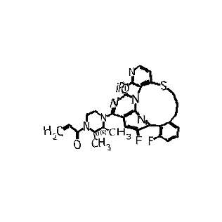 C=CC(=O)N1CCN(c2nc(=O)n3c4nc(c(F)cc24)-c2c(F)cccc2CCCSc2ccnc(C(C)C)c2-3)[C@@H](C)[C@H]1C